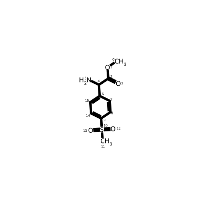 COC(=O)C(N)c1ccc(S(C)(=O)=O)cc1